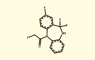 O=C(CF)N1c2ccccc2NC(F)(F)c2cc(F)ccc21